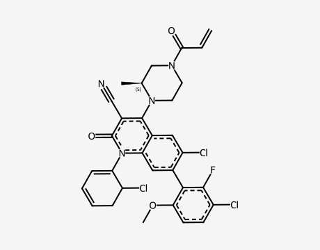 C=CC(=O)N1CCN(c2c(C#N)c(=O)n(C3=CC=CCC3Cl)c3cc(-c4c(OC)ccc(Cl)c4F)c(Cl)cc23)[C@@H](C)C1